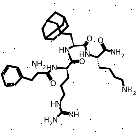 N=C(N)NCCC[C@@H](NC(=O)[C@@H](N)Cc1ccccc1)C(=O)N[C@@H](CC12CC3CC(CC(C3)C1)C2)C(=O)N[C@@H](CCCCN)C(N)=O